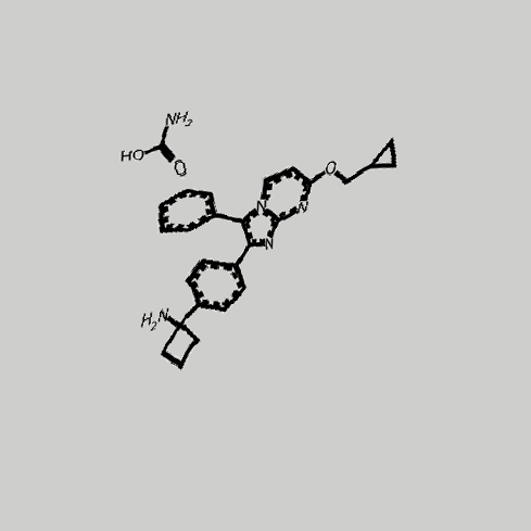 NC(=O)O.NC1(c2ccc(-c3nc4nc(OCC5CC5)ccn4c3-c3ccccc3)cc2)CCC1